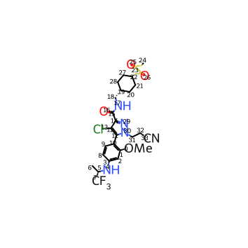 COc1cc(N[C@H](C)C(F)(F)F)ccc1-c1c(Cl)c(C(=O)NC[C@H]2CC[C@@H](S(C)(=O)=O)CC2)nn1CCC#N